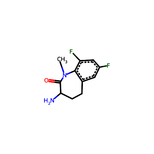 CN1C(=O)C(N)CCc2cc(F)cc(F)c21